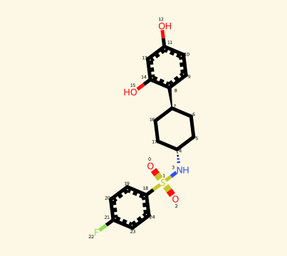 O=S(=O)(N[C@H]1CC[C@H](c2ccc(O)cc2O)CC1)c1ccc(F)cc1